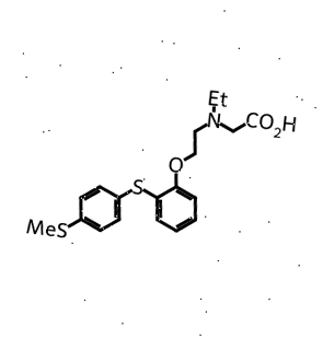 CCN(CCOc1ccccc1Sc1ccc(SC)cc1)CC(=O)O